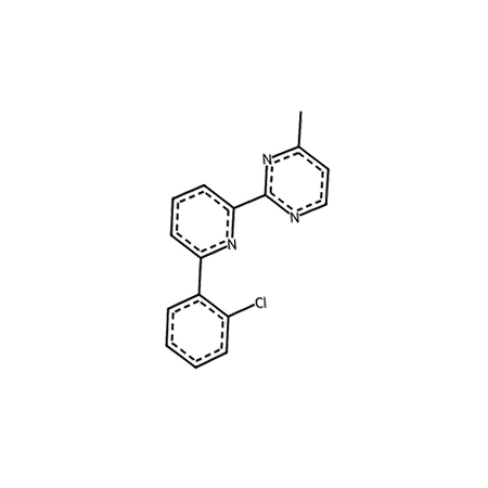 Cc1ccnc(-c2cccc(-c3ccccc3Cl)n2)n1